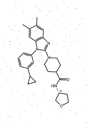 Cc1cc2nc(N3CCC(C(=O)N[C@@H]4CCOC4)CC3)n(-c3cccc(C4CC4)c3)c2cc1C